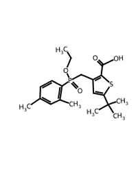 CCOP(=O)(Cc1cc(C(C)(C)C)sc1C(=O)O)c1ccc(C)cc1C